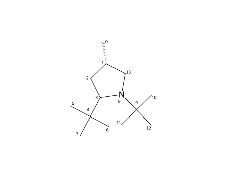 C[C@H]1CC(C(C)(C)C)N(C(C)(C)C)C1